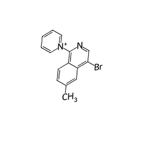 Cc1ccc2c(-[n+]3ccccc3)ncc(Br)c2c1